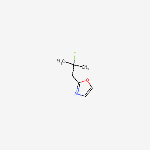 CC(C)(F)Cc1nc[c]o1